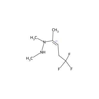 CNN(C)/C(C)=C\CC(F)(F)F